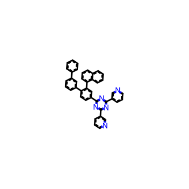 c1ccc(-c2cccc(-c3ccc(-c4nc(-c5cccnc5)nc(-c5cccnc5)n4)cc3-c3cccc4ccccc34)c2)cc1